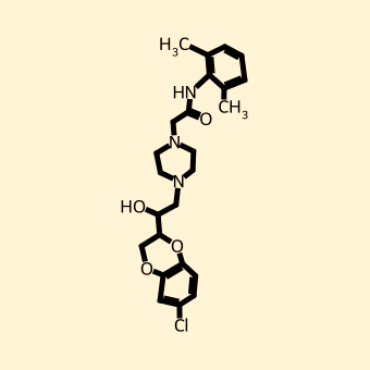 Cc1cccc(C)c1NC(=O)CN1CCN(CC(O)C2COc3cc(Cl)ccc3O2)CC1